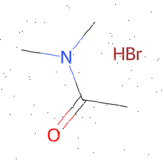 Br.CC(=O)N(C)C